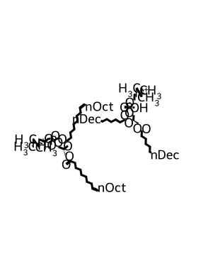 CCCCCCCC/C=C\CCCCCCCC(=O)OC[C@H](COP(=O)(O)OCC[N+](C)(C)C)OC(=O)CCCCCCC/C=C\CCCCCCCC.CCCCCCCCCCCCCCCC(=O)OC[C@H](COP(=O)(O)OCC[N+](C)(C)C)OC(=O)CCCCCCCCCCCCCCC